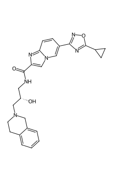 O=C(NC[C@H](O)CN1CCc2ccccc2C1)c1cn2cc(-c3noc(C4CC4)n3)ccc2n1